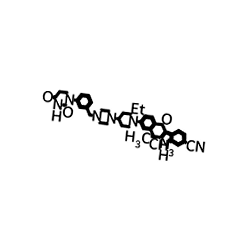 CCc1cc2c(cc1N1CCC(N3CCN(Cc4cccc(N5CCC(=O)NC5=O)c4)CC3)CC1)C(C)(C)c1[nH]c3cc(C#N)ccc3c1C2=O